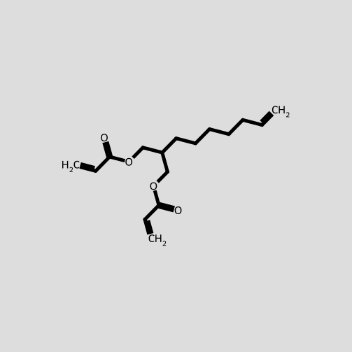 C=CCCCCCC(COC(=O)C=C)COC(=O)C=C